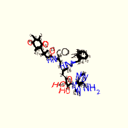 CC1=C(C)C(=O)C(C(C)(C)CC(=O)NC(CC[C@H](CNCc2ccccc2)C[C@H]2O[C@@H](n3cnc4c(N)ncnc43)C(O)C2O)C(=O)O)=C(C)C1=O